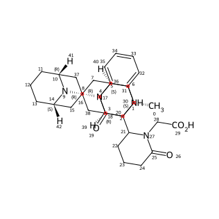 C[C@@H]1C[C@@H]2C[C@H](C1)C[C@@H](N1[C@@H]3CCC[C@H]1C[C@@H](N1C(=O)C(C4CCCC(=O)N4CC(=O)O)Nc4ccccc41)C3)C2